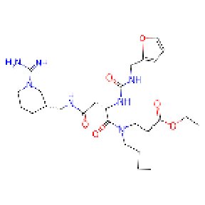 CCCCN(CCC(=O)OCC)C(=O)[C@H](CC(=O)NC[C@@H]1CCCN(C(=N)N)C1)NC(=O)NCc1ccco1